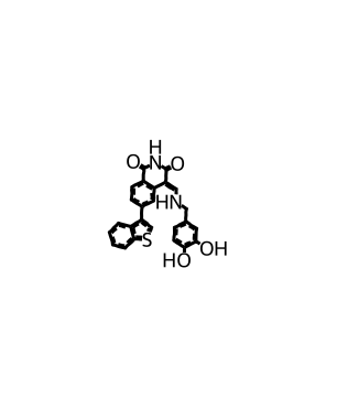 O=C1NC(=O)c2ccc(-c3csc4ccccc34)cc2/C1=C\NCc1ccc(O)c(O)c1